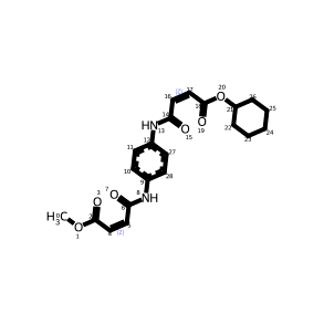 COC(=O)/C=C\C(=O)Nc1ccc(NC(=O)/C=C\C(=O)OC2CCCCC2)cc1